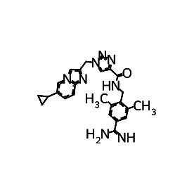 Cc1cc(C(=N)N)cc(C)c1CNC(=O)c1cn(Cc2cn3cc(C4CC4)ccc3n2)nn1